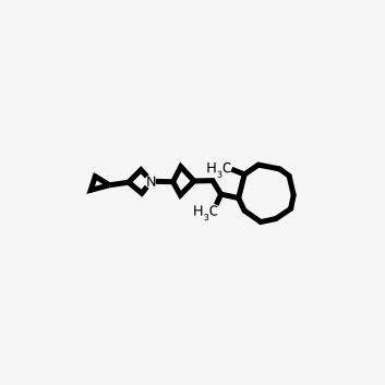 CC1CCCCCCCCC1C(C)CC1CC(N2CC(C3CC3)C2)C1